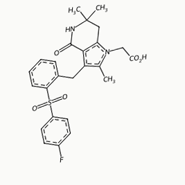 Cc1c(Cc2ccccc2S(=O)(=O)c2ccc(F)cc2)c2c(n1CC(=O)O)CC(C)(C)NC2=O